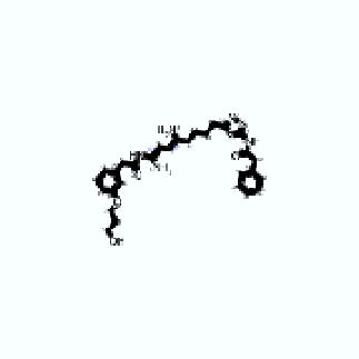 N/C(=C\C=C(/N)NC(=O)Cc1cccc(OCCCO)c1)CCCCc1nnc(NC(=O)Cc2ccccc2)s1